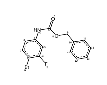 [CH2]Cc1ccc(NC(=O)OCc2ccccc2)cc1F